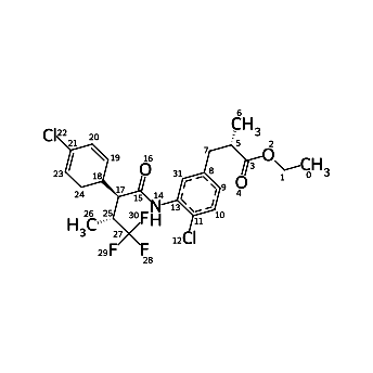 CCOC(=O)[C@@H](C)Cc1ccc(Cl)c(NC(=O)[C@H](C2C=CC(Cl)=CC2)[C@@H](C)C(F)(F)F)c1